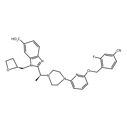 C[C@@H](c1nc2ccc(C(=O)O)cc2n1C[C@@H]1CCO1)N1CCN(c2cccc(OCc3ccc(C#N)cc3F)n2)CC1